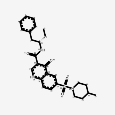 CC[C@@H](Cc1ccccc1)NC(=O)c1c[nH]c2ccc(S(=O)(=O)N3CCC(C)CC3)cc2c1=O